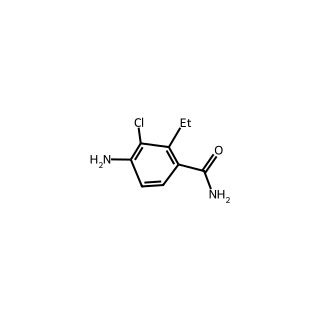 CCc1c(C(N)=O)ccc(N)c1Cl